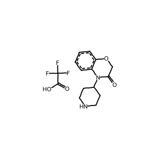 O=C(O)C(F)(F)F.O=C1COc2ccccc2N1C1CCNCC1